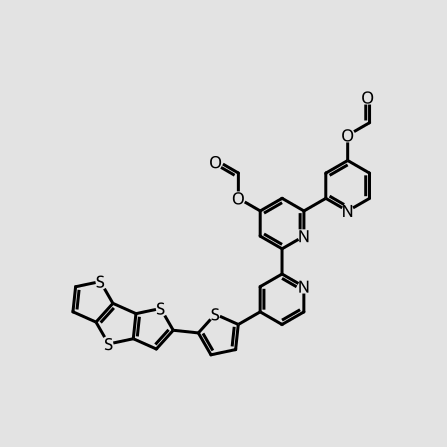 O=COc1ccnc(-c2cc(OC=O)cc(-c3cc(-c4ccc(-c5cc6sc7ccsc7c6s5)s4)ccn3)n2)c1